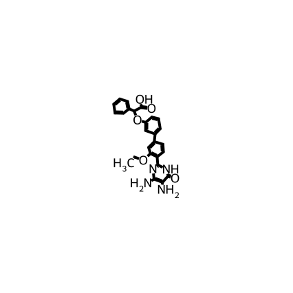 CCOc1cc(-c2cccc(OC(C(=O)O)c3ccccc3)c2)ccc1-c1nc(N)c(N)c(=O)[nH]1